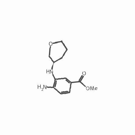 COC(=O)c1ccc(N)c(N[C@@H]2CCCOC2)c1